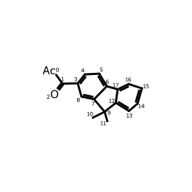 CC(=O)C(=O)c1ccc2c(c1)C(C)(C)c1ccccc1-2